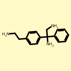 NCCc1ccc(C(N)(CN)c2ccccc2)cc1